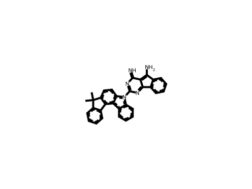 CC1(C)c2ccccc2-c2c1ccc1c2c2ccccc2n1C1=NC(=N)C2=C(N)c3ccccc3C2=N1